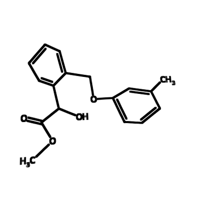 COC(=O)C(O)c1ccccc1COc1cccc(C)c1